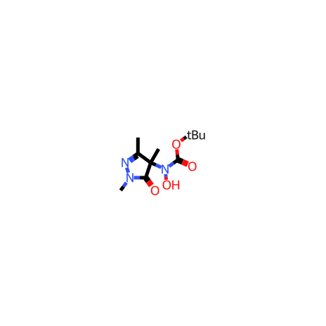 CC1=NN(C)C(=O)C1(C)N(O)C(=O)OC(C)(C)C